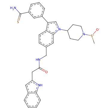 C[S+]([O-])N1CCC(n2cc(-c3cccc(C(N)=S)c3)c3ccc(CNC(=O)Cc4cc5ccccc5[nH]4)cc32)CC1